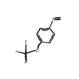 C=Nc1ccc(OC(F)(F)F)cc1